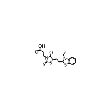 CCN1C(=CC=C2SC(=S)N(CCC(=O)O)C2=O)Sc2ccccc21